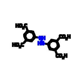 O=C(O)c1cc(NNc2cc(C(=O)O)cc(C(=O)O)c2)cc(C(=O)O)c1